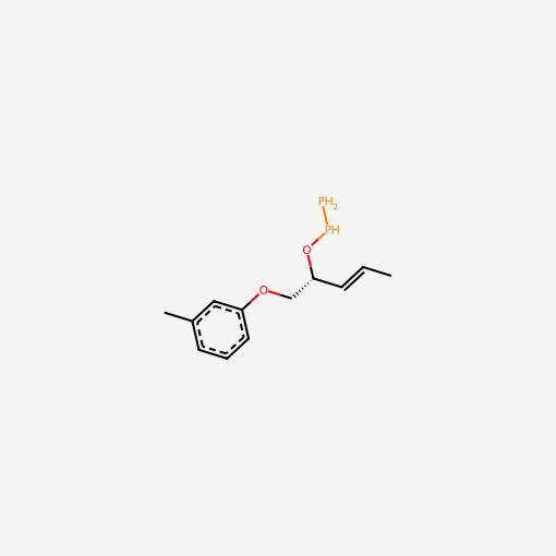 C/C=C/[C@H](COc1cccc(C)c1)OPP